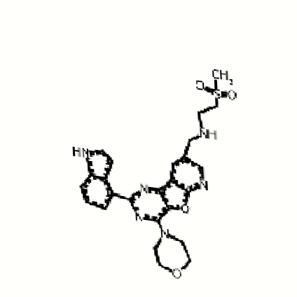 CS(=O)(=O)CCNCc1cnc2oc3c(N4CCOCC4)nc(-c4cccc5[nH]ccc45)nc3c2c1